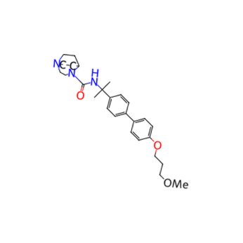 COCCCOc1ccc(-c2ccc(C(C)(C)NC(=O)N3CCN4CCC3CC4)cc2)cc1